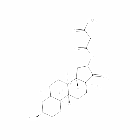 C=C1C(OC(=O)CC(=O)OC)C[C@H]2[C@@H]3CC[C@@H]4C[C@H](OC(C)=[16O])CC[C@]4(C)[C@H]3CC[C@]12C